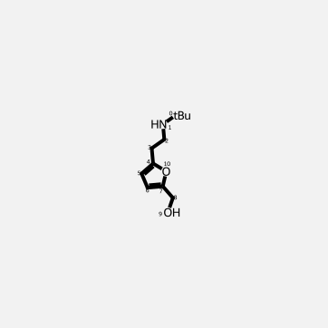 CC(C)(C)NCCc1ccc(CO)o1